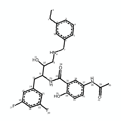 CCc1cccc(CNCC(O)C(Cc2cc(F)cc(F)c2)NC(=O)c2cc(NC(C)=O)ccc2O)c1